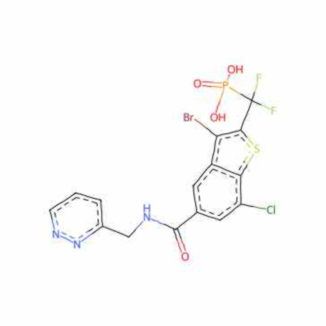 O=C(NCc1cccnn1)c1cc(Cl)c2sc(C(F)(F)P(=O)(O)O)c(Br)c2c1